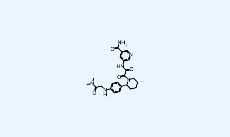 C[C@@H]1CC[C@@H](c2ccc(NCC(=O)N(C)C)cc2)N(C(=O)C(=O)Nc2cncc(C(N)=O)c2)C1